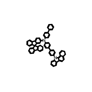 C1=CC2=C(CC1)C1(c3ccccc32)c2ccccc2-c2ccc(N(c3ccc(-c4ccccc4)cc3)c3ccc(-c4ccc(-n5c6ccccc6c6ccc7c(c65)C=CCC7)cc4)cc3)cc21